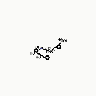 CC(NC(=O)CCC/C=C\C[C@@H]1[C@@H](CC[C@@H](O)CCc2ccccc2)[C@H](O)C[C@@H]1O)C(=O)OCc1cccc(CON(O)O)c1